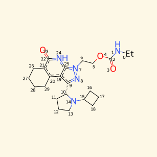 CCNC(=O)OCCn1nc([C@H]2CCCN2C2CCC2)c2c3c(c(=O)[nH]c21)CCCC3